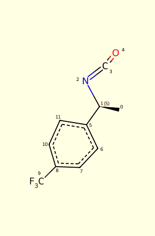 C[C@H](N=C=O)c1ccc(C(F)(F)F)cc1